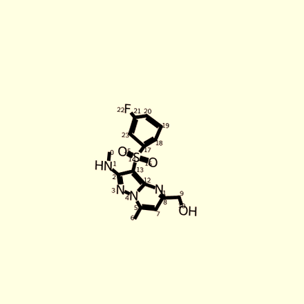 CNc1nn2c(C)cc(CO)nc2c1S(=O)(=O)c1cccc(F)c1